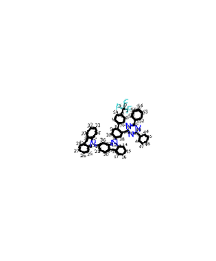 FC(F)(F)c1ccc(-c2ccc(-n3c4ccccc4c4ccc(-n5c6ccccc6c6ccccc65)cc43)cc2-c2nc(-c3ccccc3)nc(-c3ccccc3)n2)cc1